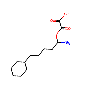 NC(CCCCC1CCCCC1)OC(=O)C(=O)O